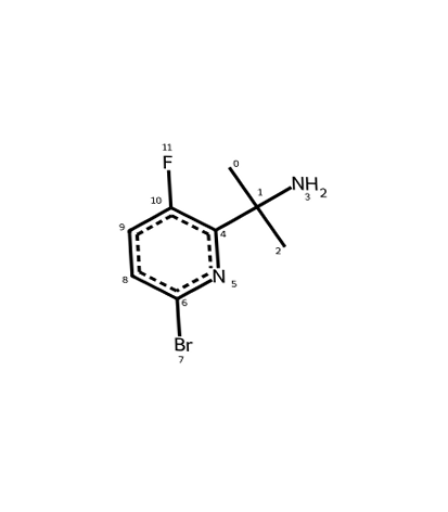 CC(C)(N)c1nc(Br)ccc1F